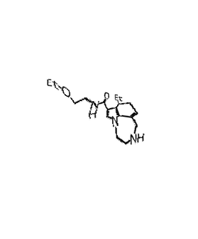 CCOCCNC(=O)c1cn2c3c1C(CC)CC=C3CNCC2